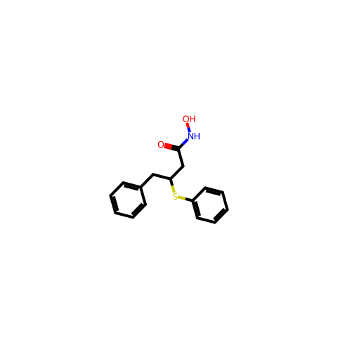 O=C(CC(Cc1ccccc1)Sc1ccccc1)NO